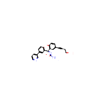 NC1=N[C@]2(CO1)c1cc(C#CCCO)ccc1Oc1ccc(-c3cccnc3)cc12